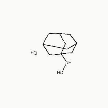 Cl.ONC12CC3CC(CC(C3)C1)C2